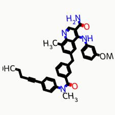 COc1cccc(Nc2c(C(N)=O)cnc3c(C)cc(Cc4cccc(C(=O)N(C)c5ccc(C#CCCC=O)cc5)c4)cc23)c1